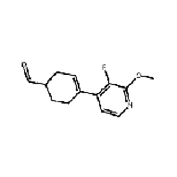 COc1nccc(C2=CCC(C=O)CC2)c1F